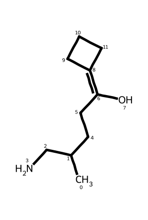 CC(CN)CCC(O)=C1CCC1